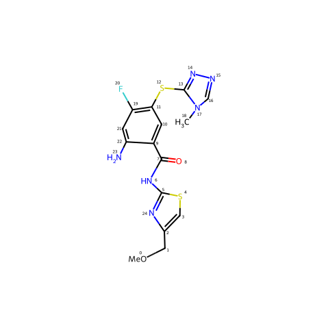 COCc1csc(NC(=O)c2cc(Sc3nncn3C)c(F)cc2N)n1